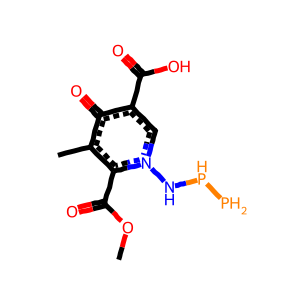 COC(=O)c1c(C)c(=O)c(C(=O)O)cn1NPP